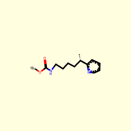 C[C@@H](CCCCNC(=O)OC(C)(C)C)c1ccccn1